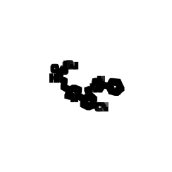 CC(C)(C)OC(=O)NCCc1ccc(-c2ccc(C#N)cc2Cn2cnc(-c3ccccc3)c2)nc1